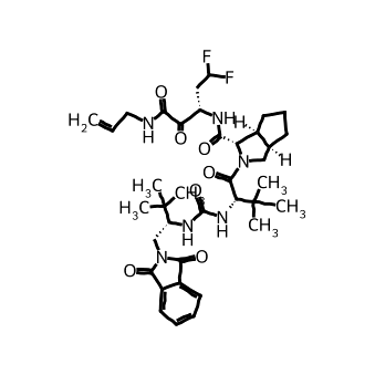 C=CCNC(=O)C(=O)[C@H](CC(F)F)NC(=O)[C@@H]1[C@H]2CCC[C@H]2CN1C(=O)[C@@H](NC(=O)N[C@H](CN1C(=O)c2ccccc2C1=O)C(C)(C)C)C(C)(C)C